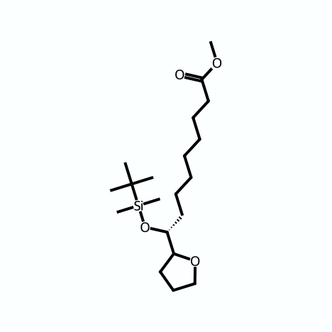 COC(=O)CCCCCCC[C@@H](O[Si](C)(C)C(C)(C)C)C1CCCO1